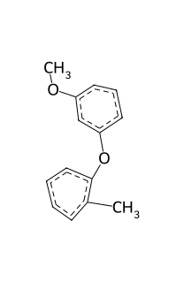 COc1cccc(Oc2ccccc2C)c1